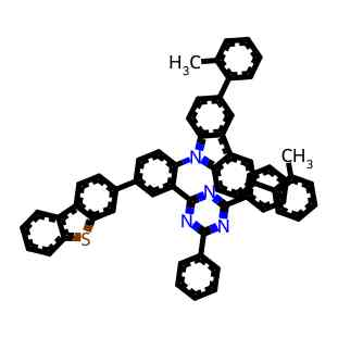 Cc1ccccc1-c1ccc2c(c1)c1cc(-c3ccccc3C)ccc1n2-c1ccc(-c2ccc3c(c2)sc2ccccc23)cc1-c1nc(-c2ccccc2)nc(-c2ccccc2)n1